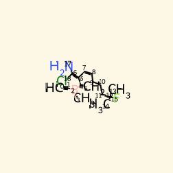 C#CB(C)C(=C)C(/C=C\CCCC(C)(C)F)=C(/N)Cl